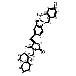 O=C1S/C(=C\c2ccc3c(cnn3Cc3ccc(Cl)cc3C(F)(F)F)c2)C(=O)N1C[C@@H]1CCCN2CCCC[C@H]12